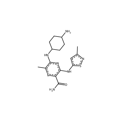 Cc1cc(Nc2nc(NC3CCC(N)CC3)c(C)nc2C(N)=O)sn1